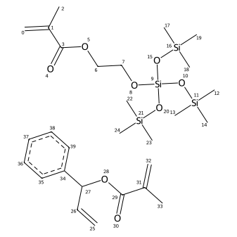 C=C(C)C(=O)OCCO[Si](O[Si](C)(C)C)(O[Si](C)(C)C)O[Si](C)(C)C.C=CC(OC(=O)C(=C)C)c1ccccc1